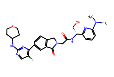 CN(C)c1cccc([C@@H](CO)NC(=O)CN2Cc3ccc(-c4nc(NC5CCOCC5)ncc4Cl)cc3C2=O)n1